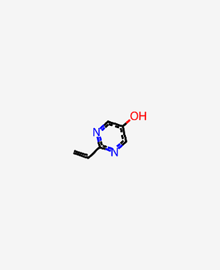 C=Cc1ncc(O)cn1